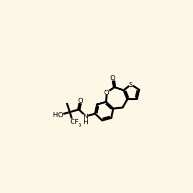 CC(O)(C(=O)Nc1ccc2c(c1)OC(=O)c1sccc1C2)C(F)(F)F